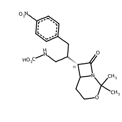 CC1(C)OCCC2[C@H](C(CNC(=O)O)Cc3ccc([N+](=O)[O-])cc3)C(=O)N21